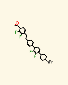 CCCC1CCC(C2=CCC(C3=CCC(CCC4=CCC(C5CO5)C(F)=C4F)C=C3)C(F)=C2F)CC1